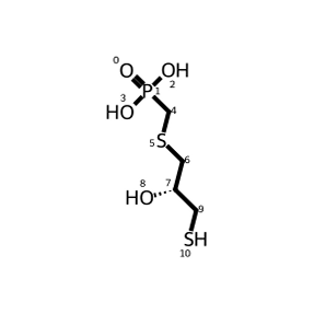 O=P(O)(O)CSC[C@@H](O)CS